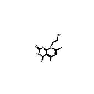 Cc1cc(C)n(CCO)c2nc(=O)[nH]c(=O)c1-2